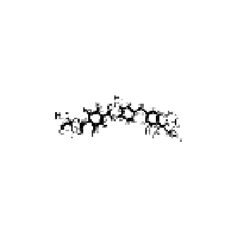 CCC(C)(C)OC(=O)c1c(F)c(F)c(C(=O)Oc2ccc(Cc3ccc(C(C)(C)CC)c(C)c3)cc2C)c(F)c1F